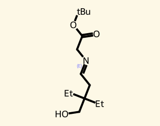 CCC(CC)(CO)C/C=N/CC(=O)OC(C)(C)C